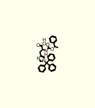 CC(OC(=O)NC(Cc1cn(C(c2ccccc2)(c2ccccc2)c2ccccc2)cn1)C(=O)O)c1ccccc1